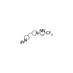 CC(C)N1CCC(CC2CCN(c3ccc(C(F)(F)F)nn3)CC2)CC1